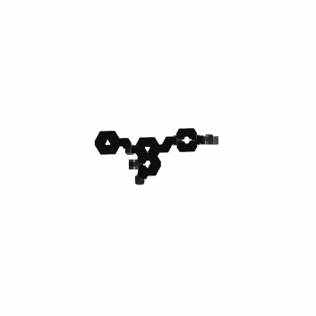 CCCCN1CCN(CCc2ccc(OCc3ccccc3)c3[nH]c(=O)ccc23)CC1